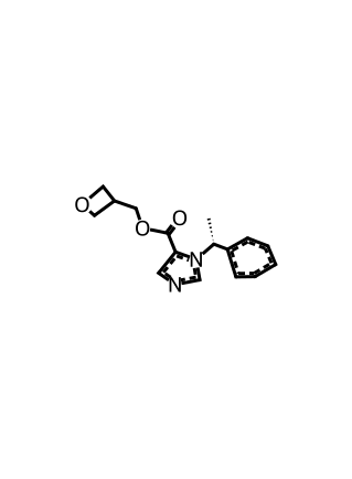 C[C@H](c1ccccc1)n1cncc1C(=O)OCC1COC1